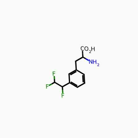 NC(Cc1cccc(C(F)C(F)F)c1)C(=O)O